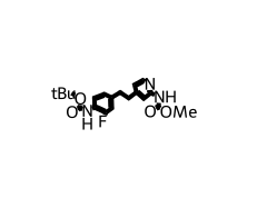 COC(=O)Nc1cc(CCc2ccc(NC(=O)OC(C)(C)C)c(F)c2)ccn1